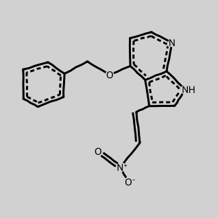 O=[N+]([O-])C=Cc1c[nH]c2nccc(OCc3ccccc3)c12